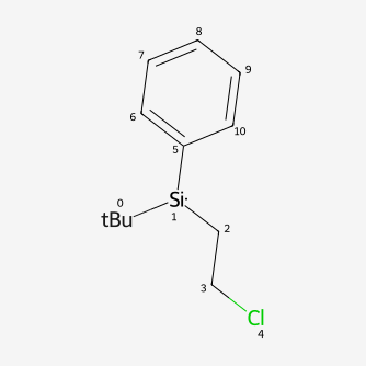 CC(C)(C)[Si](CCCl)c1ccccc1